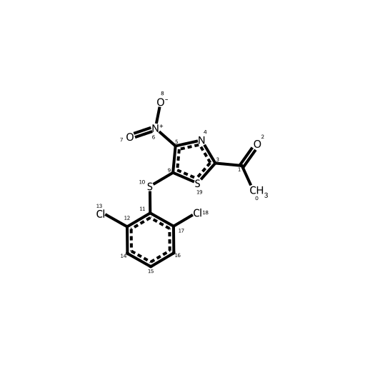 CC(=O)c1nc([N+](=O)[O-])c(Sc2c(Cl)cccc2Cl)s1